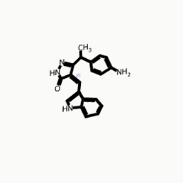 CC(C1=NNC(=O)/C1=C\c1c[nH]c2ccccc12)c1ccc(N)cc1